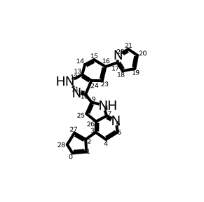 C1=CC(c2ccnc3[nH]c(-c4n[nH]c5ccc(-c6ccccn6)cc45)cc23)=CC1